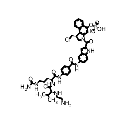 CC(C)[C@H](NCCN)C(=O)N[C@@H](CCCNC(N)=O)C(=O)Nc1ccc(C(=O)Nc2ccc3[nH]c(C(=O)N4C[C@@H](CCl)c5c4cc(OP(=O)(O)O)c4ccccc54)cc3c2)cc1